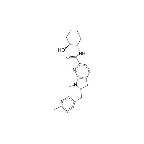 Cc1ccc(CC2Cc3ccc(C(=O)N[C@H]4CCCC[C@@H]4O)nc3N2C)cn1